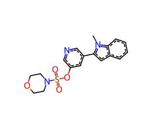 Cn1c(-c2cncc(OS(=O)(=O)N3CCOCC3)c2)cc2ccccc21